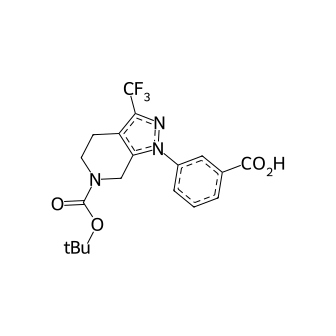 CC(C)(C)OC(=O)N1CCc2c(C(F)(F)F)nn(-c3cccc(C(=O)O)c3)c2C1